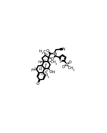 C[C@@H]1C[C@H]2[C@@H]3C[C@H](F)C4=CC(=O)C=C[C@]4(C)[C@@]3(F)[C@H](O)C[C@]2(C)[C@@]1(OC(=O)c1ccc(S(C)(=O)=O)s1)C(=O)OCC#N